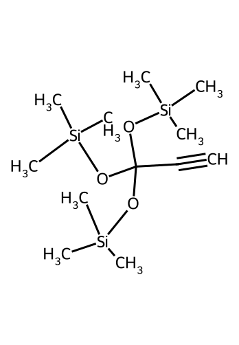 C#CC(O[Si](C)(C)C)(O[Si](C)(C)C)O[Si](C)(C)C